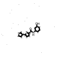 O=C(Nc1cccc(O)c1)c1ccc(-c2ccsc2)s1